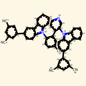 N#Cc1cc(C#N)cc(-c2ccc3c(c2)c2ccccc2n3-c2ccc(C#N)cc2-c2ccncc2-n2c3ccccc3c3cc(-c4cc(C#N)cc(C#N)c4)ccc32)c1